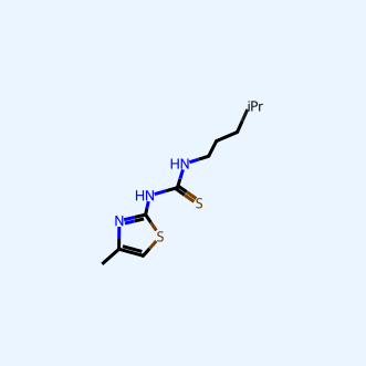 Cc1csc(NC(=S)NCCCC(C)C)n1